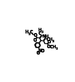 CCOC(=O)C1=C(C)NC(C)=C(CC(=O)OC)C1c1cccc([N+](=O)[O-])c1